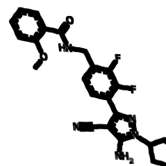 COc1ccccc1C(=O)NCc1ccc(-c2nn(C3CCCC3)c(N)c2C#N)c(F)c1F